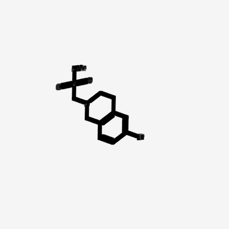 CCc1ccc2c(c1)CCN(CS(=O)(=O)NC)C2